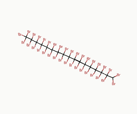 Br[C](Br)C(Br)(Br)C(Br)(Br)C(Br)(Br)C(Br)(Br)C(Br)(Br)C(Br)(Br)C(Br)(Br)C(Br)(Br)C(Br)(Br)C(Br)(Br)C(Br)(Br)C(Br)(Br)C(Br)(Br)C(Br)(Br)C(Br)(Br)C(Br)(Br)Br